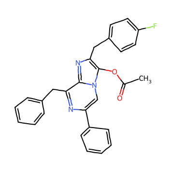 CC(=O)Oc1c(Cc2ccc(F)cc2)nc2c(Cc3ccccc3)nc(-c3ccccc3)cn12